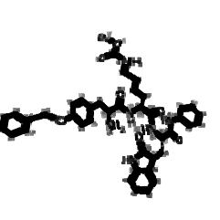 CC(C)(C)OC(=O)NCCCC[C@H](NC(=O)[C@@H](N)Cc1ccc(OCc2ccccc2)cc1)C(=O)N[C@@H](CC1C(=O)Nc2ccccc21)C(=O)Nc1ccccc1